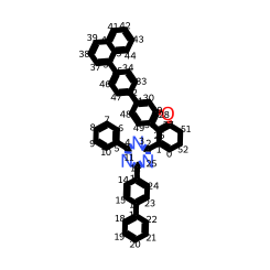 C1=C(c2nc(-c3ccccc3)nc(-c3ccc(-c4ccccc4)cc3)n2)c2c(oc3cc(-c4ccc(-c5cccc6ccccc56)cc4)ccc23)CC1